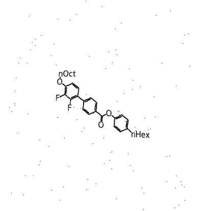 CCCCCCCCOc1ccc(-c2ccc(C(=O)Oc3ccc(CCCCCC)cc3)cc2)c(F)c1F